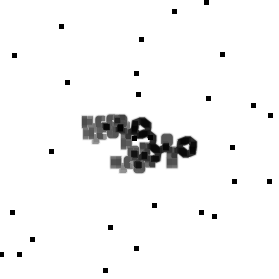 CC(C)(C)OC(=O)Nc1cccc(Cc2nc(S(C)(=O)=O)ncc2C(=O)Nc2ccccc2)c1